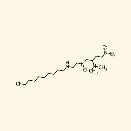 CCN(CC)CCC(CN(Cl)CCNCCCCCCCCCCl)N(C)C